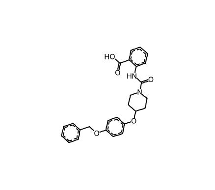 O=C(O)c1ccccc1NC(=O)N1CCC(Oc2ccc(OCc3ccccc3)cc2)CC1